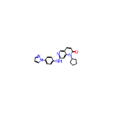 O=c1ccc2cnc(Nc3ccc(-n4cccn4)cc3)cc2n1C1CCCC1